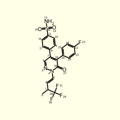 CC(C=Cn1ncc(-c2ccc(S(N)(=O)=O)cc2)c(-c2ccc(F)cc2)c1=O)C(F)(F)F